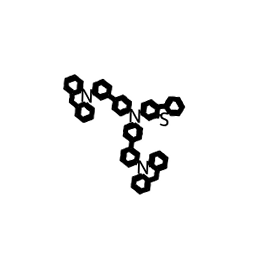 c1cc(-c2ccc(N(c3ccc(-c4cccc(N5c6ccccc6Cc6ccccc65)c4)cc3)c3ccc4c(c3)sc3ccccc34)cc2)cc(N2c3ccccc3Cc3ccccc32)c1